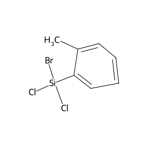 Cc1ccccc1[Si](Cl)(Cl)Br